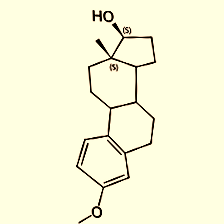 COc1ccc2c(c1)CCC1C2CC[C@@]2(C)C1CC[C@@H]2O